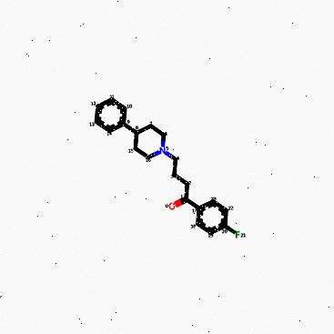 O=C(CCCN1CCC(c2ccccc2)CC1)c1ccc(F)cc1